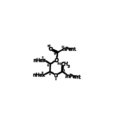 C=C(CCCCC)OC(CCCCCC)C(CCCCCC)OC(=O)CCCCC